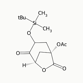 CC(=O)O[C@@]12CC(O[Si](C)(C)C(C)(C)C)C(=O)[C@@H](C1)OC2=O